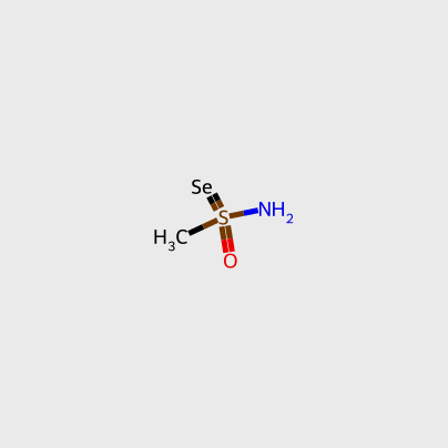 CS(N)(=O)=[Se]